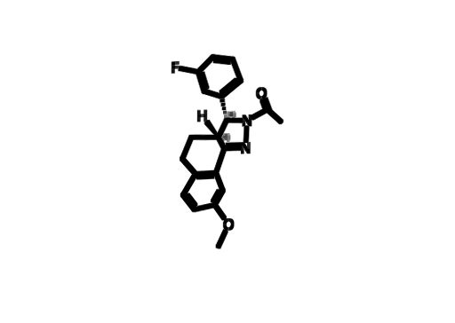 COc1ccc2c(c1)C1=NN(C(C)=O)[C@@H](c3cccc(F)c3)[C@H]1CC2